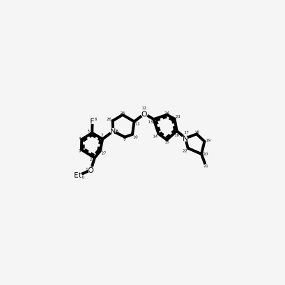 CCOc1ccc(F)c(N2CCC(Oc3ccc(N4CCC(C)C4)cc3)CC2)c1